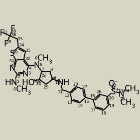 CNc1nc(N(C)[C@H]2C[C@@H](NCc3ccc(-c4cccc([S+]([O-])N(C)C)c4)cc3)C[C@H]2O)c2cc(CC(F)(F)F)sc2n1